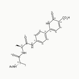 CC(=O)N[C@@H](C)C(=O)N[C@@H](C)C(=O)Nc1ccc(-c2ccc(C(=O)O)c(=O)[nH]2)cc1